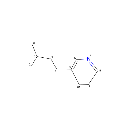 CC(C)CCC1=CN=CCC1